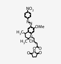 COc1cc2c(cc1/N=N/c1ccc([N+](=O)[O-])cc1)C(C)CC(C)(C)N2CCCC(=O)ON1C(=O)CCC1=O